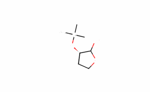 CC(C)(C)[Si](C)(C)O[C@@H]1CCOC1O